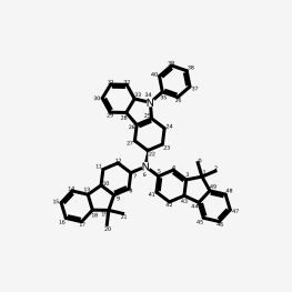 CC1(C)C2=CC(N(C3C=C4C(CC3)C3C=CC=CC3C4(C)C)[C@@H]3CCC4=C(C3)C3C=CC=CC3N4c3ccccc3)=CCC2c2ccccc21